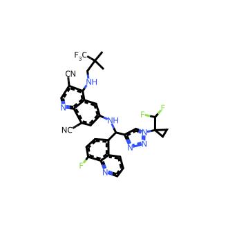 CC(C)(CNc1c(C#N)cnc2c(C#N)cc(NC(c3cn(C4(C(F)F)CC4)nn3)c3ccc(F)c4ncccc34)cc12)C(F)(F)F